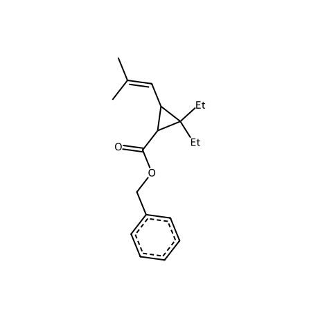 CCC1(CC)C(C=C(C)C)C1C(=O)OCc1ccccc1